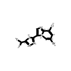 FC(F)c1nnc(-c2cnc3c(Cl)cc(Br)cn23)s1